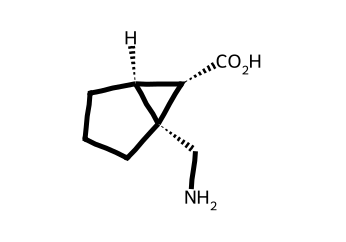 NC[C@]12CCC[C@H]1[C@@H]2C(=O)O